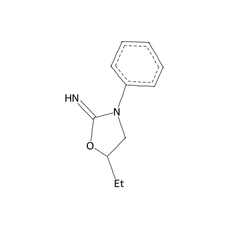 CCC1CN(c2ccccc2)C(=N)O1